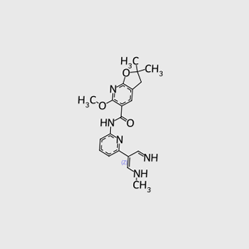 CN/C=C(\C=N)c1cccc(NC(=O)c2cc3c(nc2OC)OC(C)(C)C3)n1